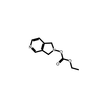 CCOC(=O)ON1Cc2ccncc2C1